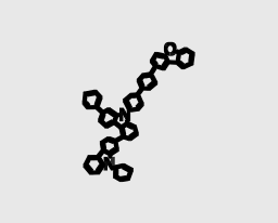 c1ccc(-c2ccc3c4c(-c5ccc6c7ccccc7n(-c7ccccc7)c6c5)cccc4n(-c4ccc(-c5ccc(-c6ccc7oc8ccccc8c7c6)cc5)cc4)c3c2)cc1